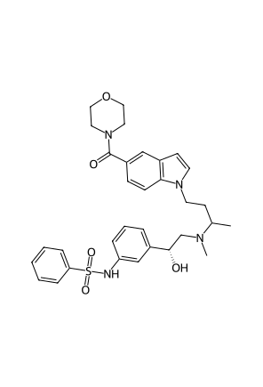 CC(CCn1ccc2cc(C(=O)N3CCOCC3)ccc21)N(C)C[C@H](O)c1cccc(NS(=O)(=O)c2ccccc2)c1